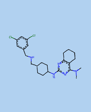 CN(C)c1nc(NC2CCC(CNCc3cc(Cl)cc(Cl)c3)CC2)nc2c1CCCC2